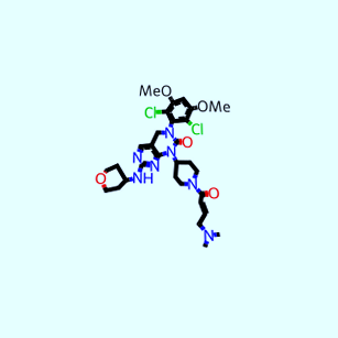 COc1cc(OC)c(Cl)c(N2Cc3cnc(NC4CCOCC4)nc3N(C3CCN(C(=O)C=CCN(C)C)CC3)C2=O)c1Cl